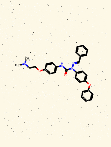 CN(C)CCOc1ccc(NC(=O)N(/N=C/c2ccccc2)c2ccc(Oc3ccccc3)cc2)cc1